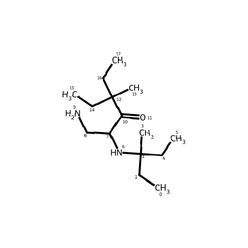 CCC(C)(CC)NC(CN)C(=O)C(C)(CC)CC